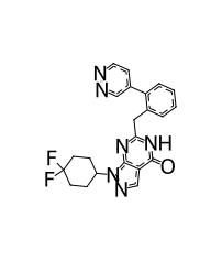 O=c1[nH]c(Cc2ccccc2-c2ccnnc2)nc2c1cnn2C1CCC(F)(F)CC1